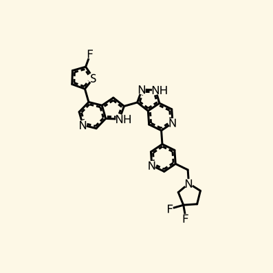 Fc1ccc(-c2cncc3[nH]c(-c4n[nH]c5cnc(-c6cncc(CN7CCC(F)(F)C7)c6)cc45)cc23)s1